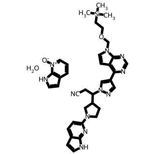 C[Si](C)(C)CCOCn1ccc2c(-c3cnn(C(CC#N)C4CCN(c5ccc6cc[nH]c6n5)C4)c3)ncnc21.O.[O-][n+]1cccc2cc[nH]c21